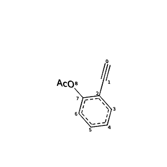 C#Cc1ccccc1OC(C)=O